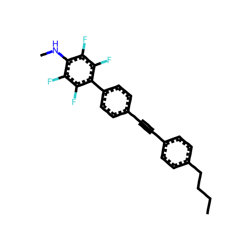 CCCCc1ccc(C#Cc2ccc(-c3c(F)c(F)c(NC)c(F)c3F)cc2)cc1